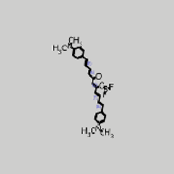 CN(C)c1ccc(/C=C/C=C/C(=O)/C=C(/C=C/C=C/c2ccc(N(C)C)cc2)OB(F)F)cc1